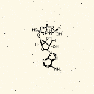 Nc1ncnc2c1ncn2[C@@H]1O[C@@H]2C(OP(=O)(O)OP(=O)(O)OP(=O)(O)O)[C@]2(O)[C@]1(O)CF